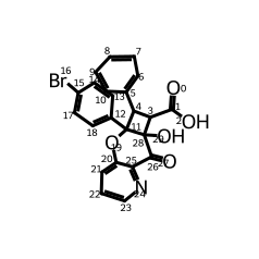 O=C(O)C1C(c2ccccc2)C2(c3ccc(Br)cc3)Oc3cccnc3C(=O)C12O